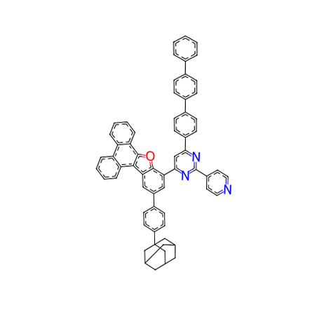 c1ccc(-c2ccc(-c3ccc(-c4cc(-c5cc(-c6ccc(C78CC9CC(CC(C9)C7)C8)cc6)cc6c5oc5c7ccccc7c7ccccc7c65)nc(-c5ccncc5)n4)cc3)cc2)cc1